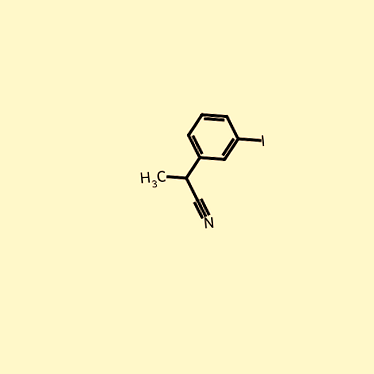 CC(C#N)c1cccc(I)c1